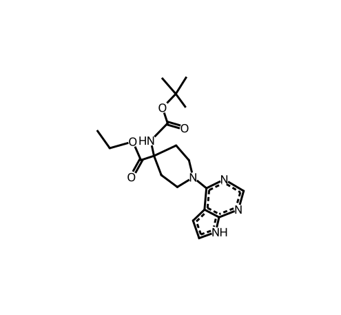 CCOC(=O)C1(NC(=O)OC(C)(C)C)CCN(c2ncnc3[nH]ccc23)CC1